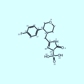 O=c1[nH]c(CN2CCOC[C@@H]2c2ccc(F)cc2)nn1P(=O)(O)O